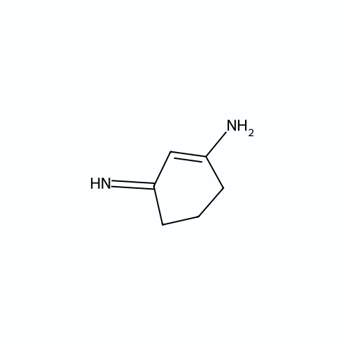 N=C1C=C(N)CCC1